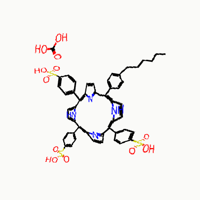 CCCCCCc1ccc(-c2c3nc(c(-c4ccc(S(=O)(=O)O)cc4)c4ccc([nH]4)c(-c4ccc(S(=O)(=O)O)cc4)c4nc(c(-c5ccc(S(=O)(=O)O)cc5)c5ccc2[nH]5)C=C4)C=C3)cc1.O=C(O)O